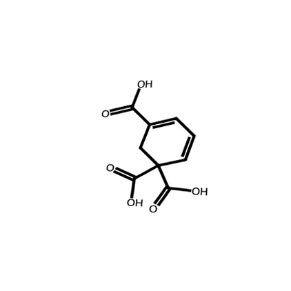 O=C(O)C1=CC=CC(C(=O)O)(C(=O)O)C1